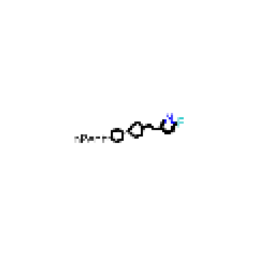 CCCCC[C@H]1CC[C@H](C2CCC(CCc3ccc(F)nc3)CC2)CC1